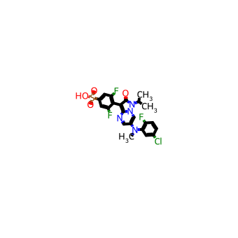 CC(C)n1c(=O)c(-c2c(F)cc(S(=O)(=O)O)cc2F)c2ncc(N(C)c3cc(Cl)ccc3F)cn21